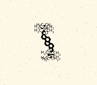 CC(C)[Si](c1cc2ccc3c4ccc5c(ccc6cc([Si](C(C)C)(C(C)C)C(C)C)oc65)c4ccc3c2o1)(C(C)C)C(C)C